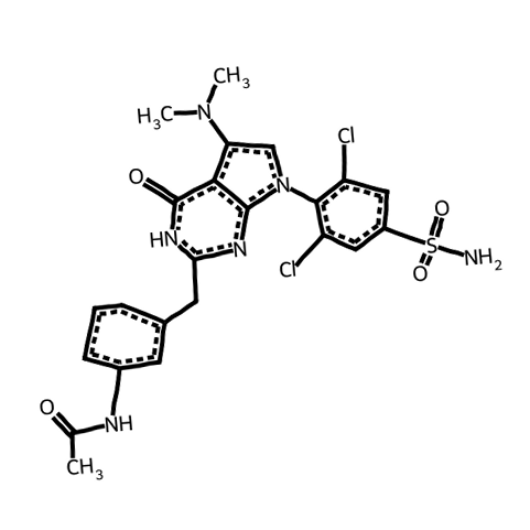 CC(=O)Nc1cccc(Cc2nc3c(c(N(C)C)cn3-c3c(Cl)cc(S(N)(=O)=O)cc3Cl)c(=O)[nH]2)c1